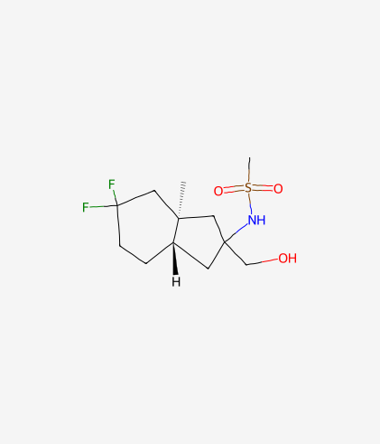 C[C@@]12CC(F)(F)CC[C@H]1CC(CO)(NS(C)(=O)=O)C2